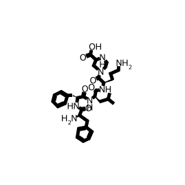 CC(C)C[C@@H](NC(=O)[C@@H](Cc1ccccc1)NC(=O)[C@H](N)Cc1ccccc1)C(=O)N[C@H](CCCN)C(=O)N1CCNC(C(=O)O)C1